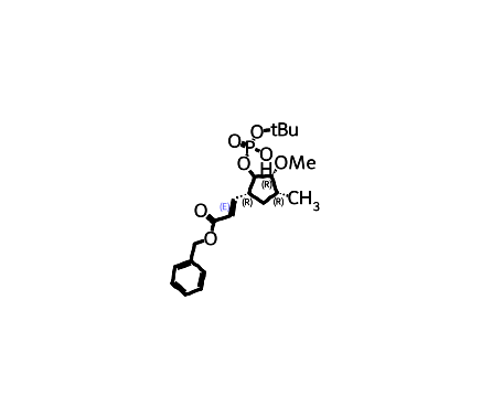 CO[C@H]1C(OP(=O)(O)OC(C)(C)C)[C@@H](/C=C/C(=O)OCc2ccccc2)C[C@H]1C